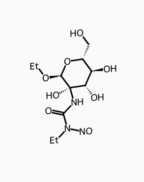 CCO[C@H]1O[C@H](CO)[C@@H](O)[C@H](O)[C@@]1(O)NC(=O)N(CC)N=O